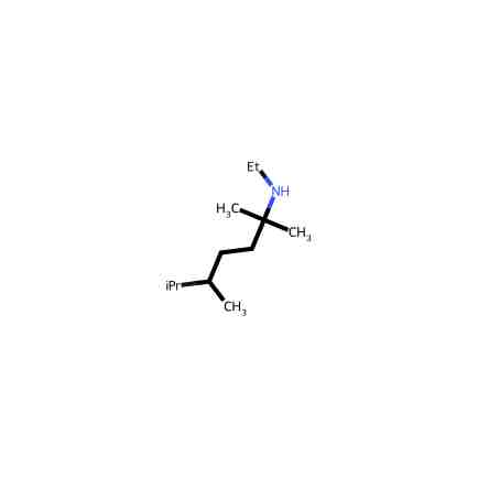 CCNC(C)(C)CCC(C)C(C)C